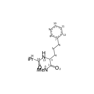 CNC(=O)C(CCCc1ccccc1)NC(=O)C(C)C